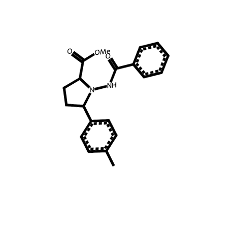 COC(=O)C1CCC(c2ccc(C)cc2)N1NC(=O)c1ccccc1